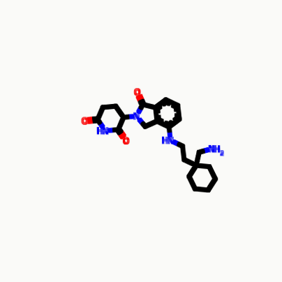 NCC1(CCNc2cccc3c2CN(C2CCC(=O)NC2=O)C3=O)CCCCC1